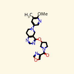 COc1ncc(N2CCc3ncnc(OC4CCN(C(=O)c5cocn5)C4)c3C2)cc1C